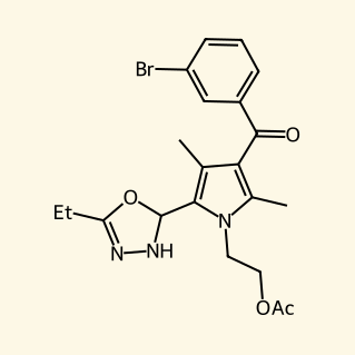 CCC1=NNC(c2c(C)c(C(=O)c3cccc(Br)c3)c(C)n2CCOC(C)=O)O1